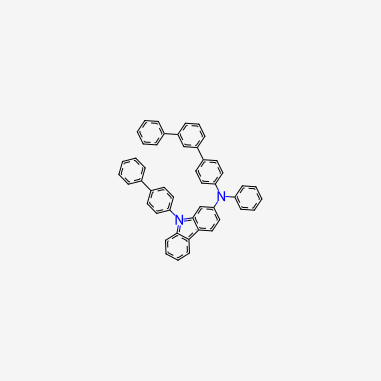 c1ccc(-c2ccc(-n3c4ccccc4c4ccc(N(c5ccccc5)c5ccc(-c6cccc(-c7ccccc7)c6)cc5)cc43)cc2)cc1